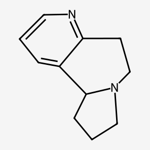 c1cnc2c(c1)C1CCCN1CC2